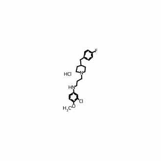 COc1ccc(NCCCN2CCC(Cc3ccc(F)cc3)CC2)cc1Cl.Cl